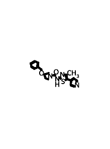 Cc1nc(NC(=O)N2CCC(OCc3ccccc3)C2)sc1-c1ccncc1